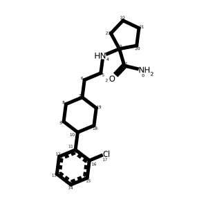 NC(=O)C1(NCCC2CCC(c3ccccc3Cl)CC2)CCCC1